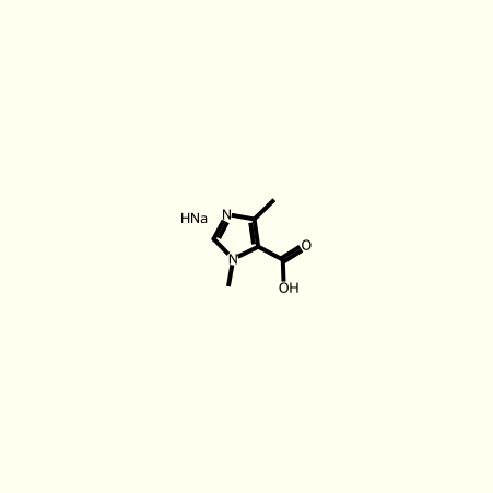 Cc1ncn(C)c1C(=O)O.[NaH]